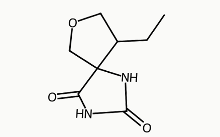 CCC1COCC12NC(=O)NC2=O